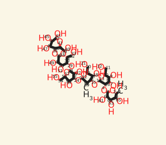 CC1O[C@@H](O[C@H]2C(O)[C@@H](O)C(CO)O[C@H]2OC2[C@@H](O)C(CO)O[C@@H](O[C@@H]3C(O)[C@@H](O[C@H]4C(CO)O[C@@H](O[C@@H]5C(CO)O[C@@H](O)C(O)C5O)[C@@H](O)C4O)OC(CO)[C@@H]3O)[C@H]2C)[C@@H](O)C(O)[C@@H]1O